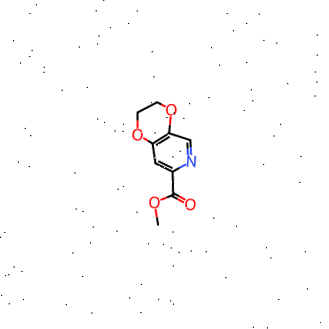 COC(=O)c1cc2c(cn1)OCCO2